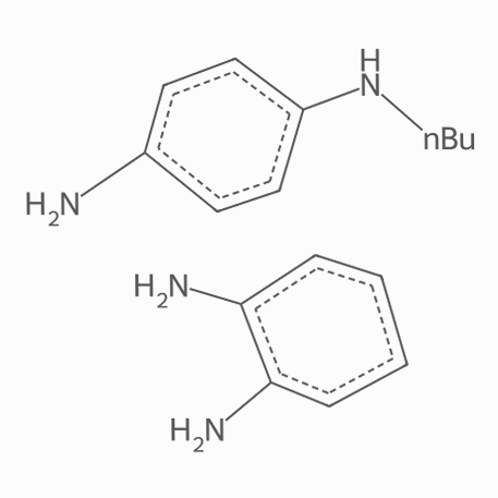 CCCCNc1ccc(N)cc1.Nc1ccccc1N